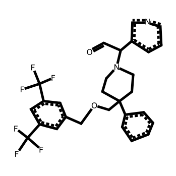 O=CC(c1cccnc1)N1CCC(COCc2cc(C(F)(F)F)cc(C(F)(F)F)c2)(c2ccccc2)CC1